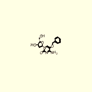 Nc1nc(=O)n([C@@H]2C[C@@H](O)[C@H](CO)O2)cc1OCc1ccccc1